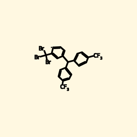 FC(F)(F)c1ccc(C(c2ccc(C(F)(F)F)cc2)c2cc[c]c(C(Br)(Br)Br)c2)cc1